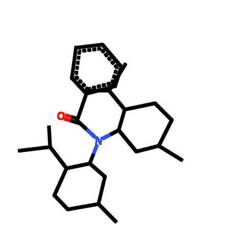 CC1CCC(C(C)C)C(N(C(=O)c2ccccc2)C2CC(C)CCC2C(C)C)C1